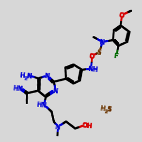 COc1ccc(F)c(N(C)SONc2ccc(-c3nc(N)c(C(C)=N)c(NCCN(C)CCO)n3)cc2)c1.S